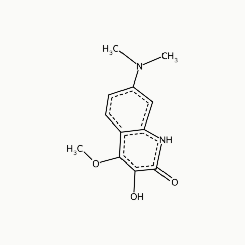 COc1c(O)c(=O)[nH]c2cc(N(C)C)ccc12